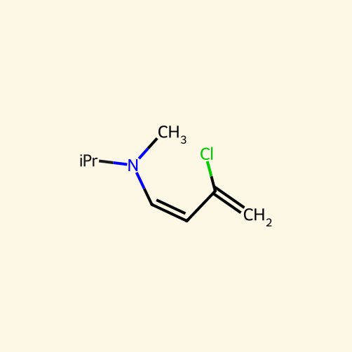 C=C(Cl)/C=C\N(C)C(C)C